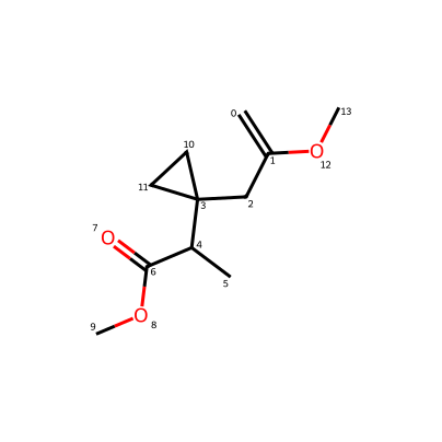 C=C(CC1(C(C)C(=O)OC)CC1)OC